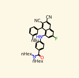 CCCCCCN(CCCCCC)C(=O)c1ccc(Nc2cc(F)cc3cc(C#N)c(C#N)c(-c4cccc(CCCC)c4)c23)cc1